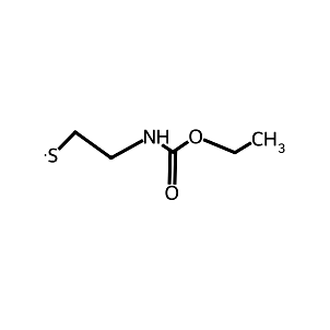 CCOC(=O)NCC[S]